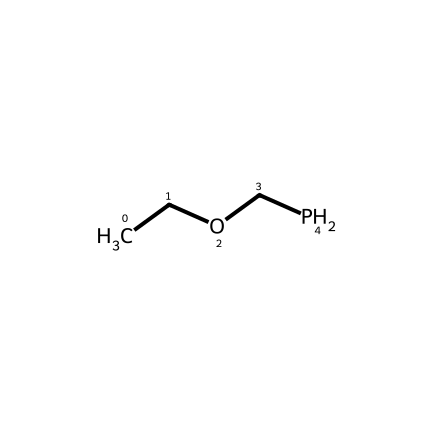 CCOCP